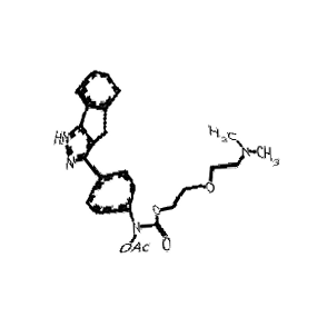 CC(=O)ON(C(=O)OCCOCCN(C)C)c1ccc(-c2n[nH]c3c2Cc2ccccc2-3)cc1